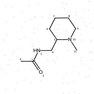 CC(=O)NCC1CCCCN1C